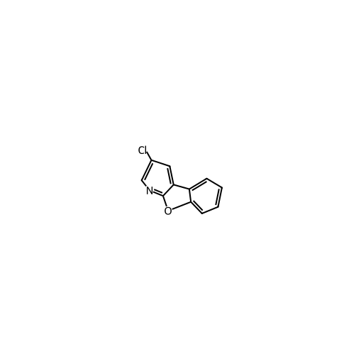 Clc1cnc2oc3ccccc3c2c1